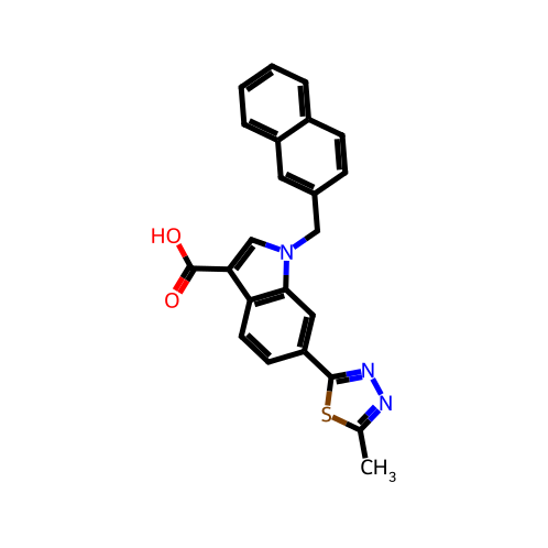 Cc1nnc(-c2ccc3c(C(=O)O)cn(Cc4ccc5ccccc5c4)c3c2)s1